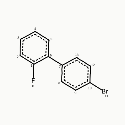 Fc1cc[c]cc1-c1ccc(Br)cc1